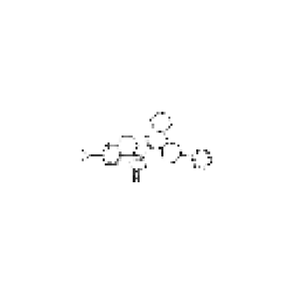 O=C([C@@H]1CNC[C@]12CCCc1nc(C3CC3)ccc12)N1CCC(c2ccccc2)CC1C1CCCCC1